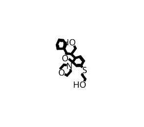 CC1(N2CCOCC2)C=C(SCCO)C=CC1C(CO)C(=O)c1ccccc1